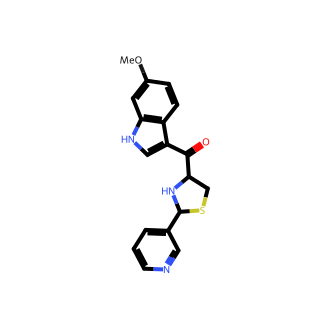 COc1ccc2c(C(=O)C3CSC(c4cccnc4)N3)c[nH]c2c1